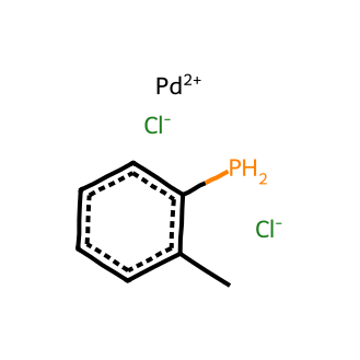 Cc1ccccc1P.[Cl-].[Cl-].[Pd+2]